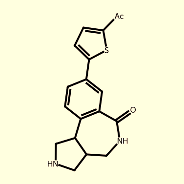 CC(=O)c1ccc(-c2ccc3c(c2)C(=O)NCC2CNCC32)s1